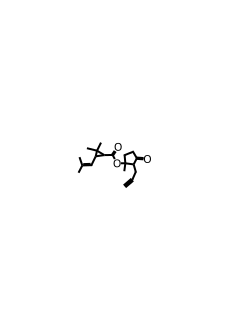 C#CCC1C(=O)CCC1(C)OC(=O)C1C(C=C(C)C)C1(C)C